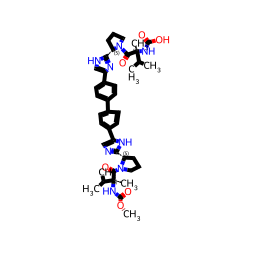 COC(=O)N[C@](C)(C(=O)N1CCC[C@H]1c1ncc(-c2ccc(-c3ccc(-c4c[nH]c([C@@H]5CCCN5C(=O)[C@@](C)(NC(=O)O)C(C)C)n4)cc3)cc2)[nH]1)C(C)C